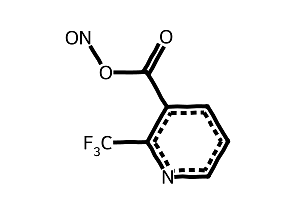 O=NOC(=O)c1cccnc1C(F)(F)F